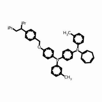 Cc1cccc(N(C2=CCC=CC=C2)c2ccc(N(c3ccc(OCc4ccc(C(CC(C)C)C(C)C)cc4)cc3)c3cccc(C)c3)cc2)c1